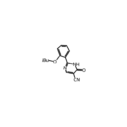 CCC(C)Oc1ccccc1-c1ncc(C#N)c(=O)[nH]1